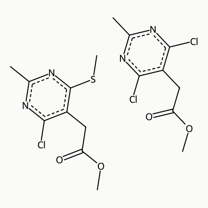 COC(=O)Cc1c(Cl)nc(C)nc1Cl.COC(=O)Cc1c(Cl)nc(C)nc1SC